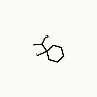 CC(=O)C1(C(C)C#N)CCCCC1